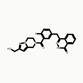 O=C(c1cc(Cc2n[nH]c(=O)c3ccccc23)ccc1F)N1CCn2nc(CO)cc2C1